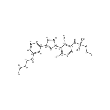 CCCS(=O)(=O)Nc1ccc(F)c(-n2cc(-c3cncc(OCCOC)c3)nn2)c1F